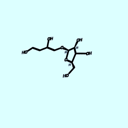 OCCC(O)CO[C@@H]1O[C@H](CO)C(O)[C@@H]1O